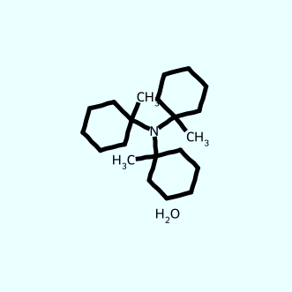 CC1(N(C2(C)CCCCC2)C2(C)CCCCC2)CCCCC1.O